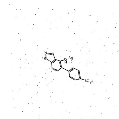 O=S(=O)(O)c1ccc(-c2ccc3[nH]nnc3c2O)cc1.[Ag]